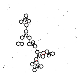 c1ccc(-c2cc(-c3ccc4oc5c(-c6cccc(N(c7ccc(-c8cccc(-c9ccccc9-n9c%10ccccc%10c%10ccccc%109)c8)cc7)c7cccc(-c8cccc9ccccc89)c7)c6)cccc5c4c3)ccc2N(c2ccc(-c3cccc(-c4ccccc4-n4c5ccccc5c5ccccc54)c3)cc2)c2cccc(-c3cccc4c3oc3ccccc34)c2)cc1